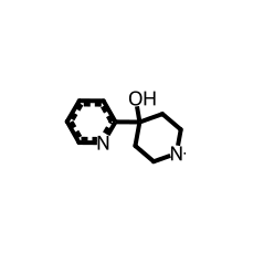 OC1(c2ccccn2)CC[N]CC1